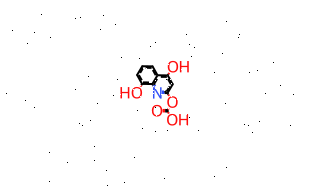 O=C(O)Oc1cc(O)c2cccc(O)c2n1